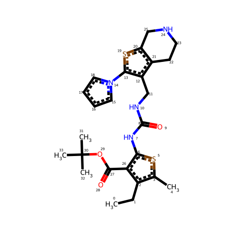 CCc1c(C)sc(NC(=O)NCc2c(-n3cccc3)sc3c2CCNC3)c1C(=O)OC(C)(C)C